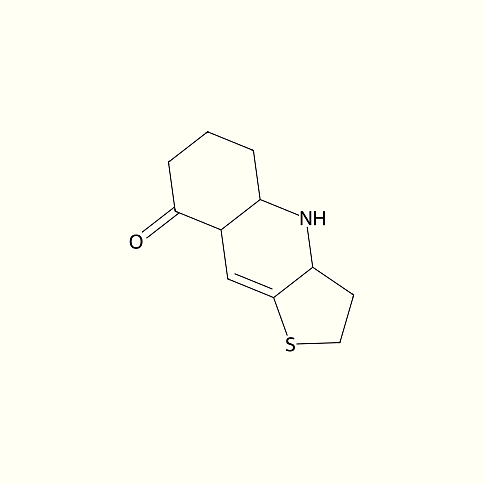 O=C1CCCC2NC3CCSC3=CC12